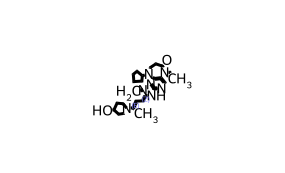 C=N/C(=C\C=C(/C)N1CCC(O)CC1)Nc1ncc2c(n1)N(C1CCCC1)CCC(=O)N2CC